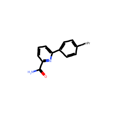 CCCc1ccc(-c2cccc(C(N)=O)n2)cc1